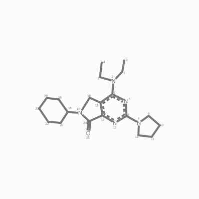 CCN(CC)c1nc(N2CCCC2)nc2c1CN(C1CCCCC1)C2=O